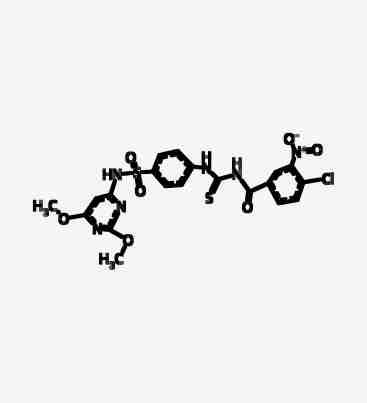 COc1cc(NS(=O)(=O)c2ccc(NC(=S)NC(=O)c3ccc(Cl)c([N+](=O)[O-])c3)cc2)nc(OC)n1